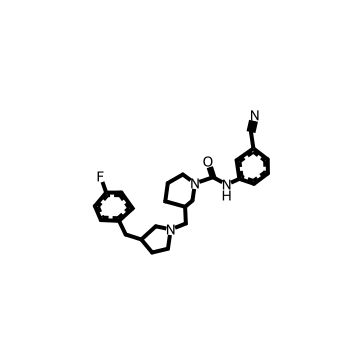 N#Cc1cccc(NC(=O)N2CCCC(CN3CCC(Cc4ccc(F)cc4)C3)C2)c1